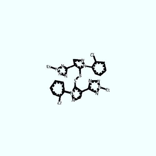 CCn1nnc(-c2cnn(-c3ccccc3Cl)c2SSc2c(-c3nnn(CC)n3)cnn2-c2ccccc2Cl)n1